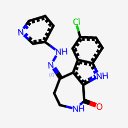 O=C1NCC/C(=N/Nc2cccnc2)c2c1[nH]c1ccc(Cl)cc21